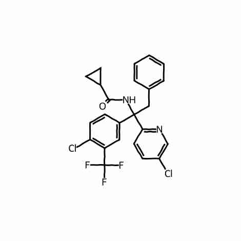 O=C(NC(Cc1ccccc1)(c1ccc(Cl)c(C(F)(F)F)c1)c1ccc(Cl)cn1)C1CC1